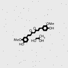 CC(O)CO.COc1cc(/C=C/C(=O)CC(=O)/C=C/c2ccc(O)c(OC)c2)ccc1O